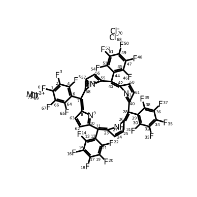 Fc1c(F)c(F)c(-c2c3nc(c(-c4c(F)c(F)c(F)c(F)c4F)c4ccc([nH]4)c(-c4c(F)c(F)c(F)c(F)c4F)c4nc(c(-c5c(F)c(F)c(F)c(F)c5F)c5ccc2[nH]5)C=C4)C=C3)c(F)c1F.[Cl-].[Cl-].[Cl-].[Mn+3]